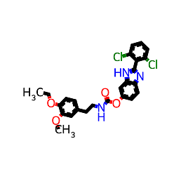 CCOc1ccc(CCNC(=O)Oc2ccc3nc(-c4c(Cl)cccc4Cl)[nH]c3c2)cc1OC